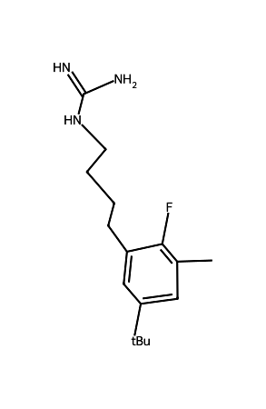 Cc1cc(C(C)(C)C)cc(CCCCNC(=N)N)c1F